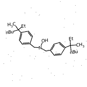 CCCCC(C)(CC)c1ccc(CN(O)Cc2ccc(C(C)(CC)CCCC)cc2)cc1